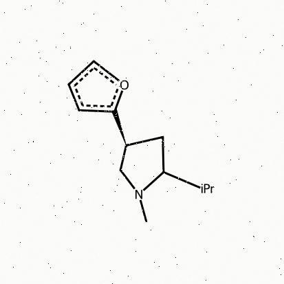 CC(C)C1C[C@H](c2ccco2)CN1C